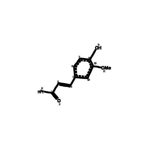 CCCC(=O)C=Cc1ccc(O)c(OC)c1